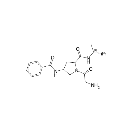 CC(C)[C@@H](C)NC(=O)C1CC(NC(=O)c2ccccc2)CN1C(=O)CN